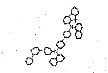 CC1(C)c2ccccc2-c2cccc(N(c3ccc(-c4ccc(N(c5ccc(-c6cccc(-c7ccccc7)c6)cc5)c5cccc6ccccc56)cc4)cc3)c3cccc4ccccc34)c21